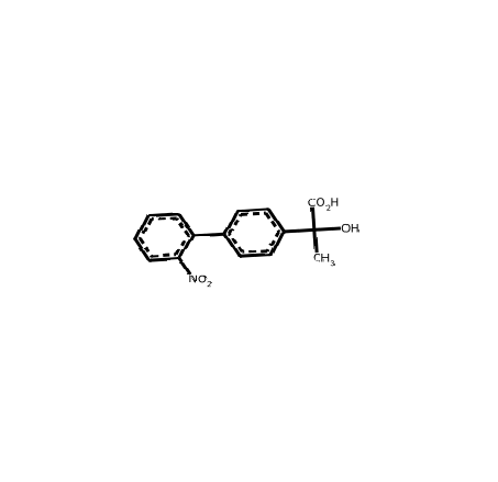 CC(O)(C(=O)O)c1ccc(-c2ccccc2[N+](=O)[O-])cc1